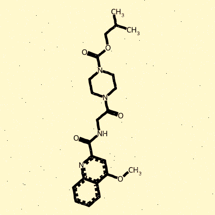 COc1cc(C(=O)NCC(=O)N2CCN(C(=O)OCC(C)C)CC2)nc2ccccc12